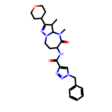 CC1C(C2CCOCC2)=NN2CCC(NC(=O)c3cn(Cc4ccccc4)nn3)C(=O)N(C)C12